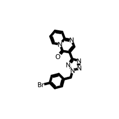 O=c1c(-c2nnn(Cc3ccc(Br)cc3)n2)cnc2ccccn12